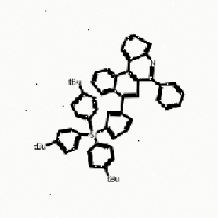 CC(C)(C)c1ccc([Si](c2ccc(C(C)(C)C)cc2)(c2ccc(C(C)(C)C)cc2)c2cccc(-c3cc4c(-c5ccccc5)nc5ccccc5c4c4ccccc34)c2)cc1